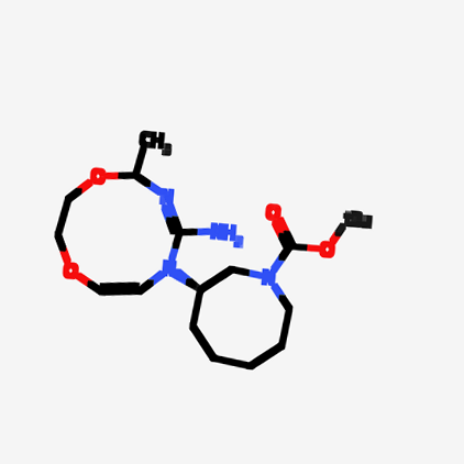 CC1/N=C(/N)N([C@@H]2CCCCCN(C(=O)OC(C)(C)C)C2)/C=C\OCCO1